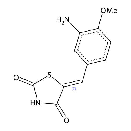 COc1ccc(/C=C2\SC(=O)NC2=O)cc1N